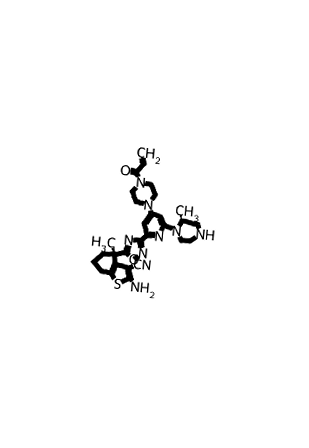 C=CC(=O)N1CCN(c2cc(-c3noc([C@@]4(C)CCCc5sc(N)c(C#N)c54)n3)nc(N3CCNC[C@H]3C)c2)CC1